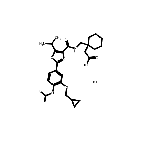 CC(N)c1oc(-c2ccc(OC(F)F)c(OCC3CC3)c2)nc1C(=O)NCC1(CC(=O)O)CCCCC1.Cl